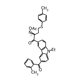 CCn1c2ccc(C(=O)/C(CCSc3ccc(C)cc3)=N/OC(C)=O)cc2c2cc(C(=O)c3ccccc3C)ccc21